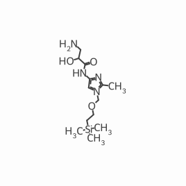 Cc1nc(NC(=O)C(O)CN)cn1COCC[Si](C)(C)C